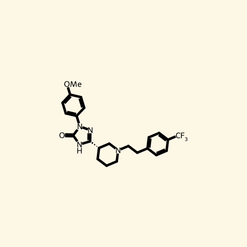 COc1ccc(-n2nc([C@H]3CCCN(CCc4ccc(C(F)(F)F)cc4)C3)[nH]c2=O)cc1